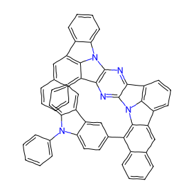 c1ccc(-n2c3ccccc3c3cc(-c4c5ccccc5cc5c6cccc7c8nc9c(nc8n(c45)c67)c4c5ccccc5cc5c6ccccc6n9c54)ccc32)cc1